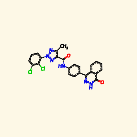 Cc1nn(-c2cccc(Cl)c2Cl)nc1C(=O)Nc1ccc(-c2n[nH]c(=O)c3ccccc23)cc1